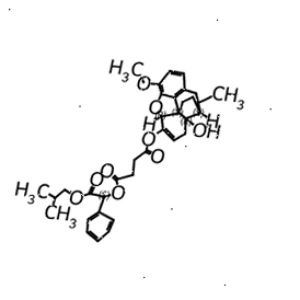 COc1ccc2c3c1O[C@H]1C(OC(=O)CCC(=O)O[C@H](C(=O)OCC(C)C)c4ccccc4)=CC[C@@]4(O)[C@@H](C2)C(C)CC[C@]314